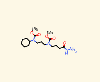 CC(C)(C)OC(=O)N(CCCC(=O)NN)CCCN(C(=O)OC(C)(C)C)C1CCCCC1